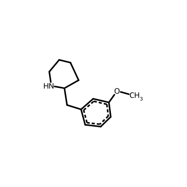 COc1cccc(CC2CCCCN2)c1